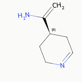 C=C(N)[C@H]1CC=NCC1